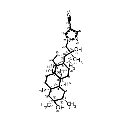 C[C@H]1C[C@H]2[C@H](CC[C@@H]3[C@@H]2CC[C@@]2(C)[C@H]3CC[C@@H]2[C@](C)(O)Cn2cc(C#N)cn2)C[C@]1(C)O